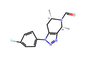 C[C@@H]1c2nnn(-c3ccc(F)cc3)c2C[C@H](C)N1C=O